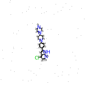 CN1CCN(C2CCN(c3ccc(-c4cc5c(Cl)ccnc5[nH]4)cc3)CC2)CC1